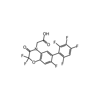 O=C(O)CN1C(=O)C(F)(F)Oc2cc(F)c(-c3c(F)cc(F)c(F)c3F)cc21